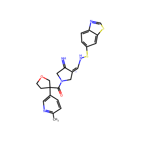 Cc1ccc(C2(C(=O)N3CC(=N)/C(=C\NSc4ccc5ncsc5c4)C3)CCOC2)cn1